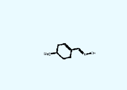 COC1CC=C(C=NO)CC1